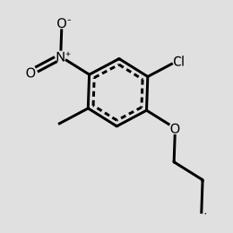 [CH2]CCOc1cc(C)c([N+](=O)[O-])cc1Cl